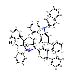 CCC1/C(c2ccccc2)=N\C(c2ccc3c4ccccc4c4cccc(-c5ccc6c7ccccc7n(-c7ccc8ccccc8c7)c6c5)c4c3c2)=C(/C)CCC1c1ccccc1